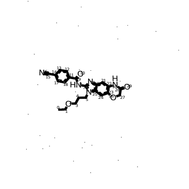 CCOCCCn1c(NC(=O)c2ccc(C#N)cc2)nc2cc3c(cc21)OCC(=O)N3